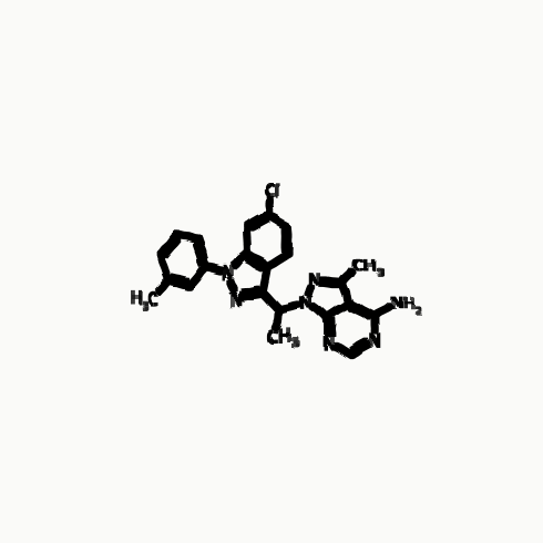 Cc1cccc(-n2nc(C(C)n3nc(C)c4c(N)ncnc43)c3ccc(Cl)cc32)c1